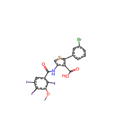 COc1c(I)c(I)cc(C(=O)Nc2csc(-c3cccc(Br)c3)c2C(=O)O)c1I